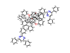 c1ccc(-c2cc(-c3ccccc3)nc(-c3cccc(-c4ccc(-c5cccc6c5Oc5ccccc5C65c6ccccc6-c6cc(-c7ccc(-c8nc(-c9ccccc9)cc(-c9ccccc9)n8)cc7-c7cccc(-c8cccc9c8Oc8ccccc8C98c9ccccc9-c9ccccc98)c7)ccc65)cc4)c3)n2)cc1